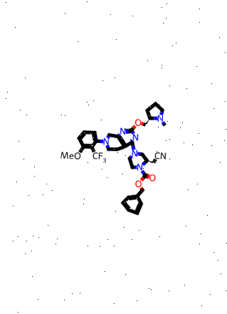 COc1cccc(N2CCc3c(nc(OC[C@@H]4CCCN4C)nc3N3CCN(C(=O)OCc4ccccc4)[C@@H](CC#N)C3)C2)c1C(F)(F)F